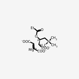 CCC(=O)O[C@H](CC(=O)[O-])C[N+](C)(C)C.O=C([O-])C=CC(=O)[O-].[Mg+2]